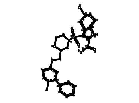 Cc1ccc(OCC2CN(S(=O)(=O)c3c(C(N)=O)[nH]c4ccc(Cl)cc34)CCO2)cc1-c1ccccc1